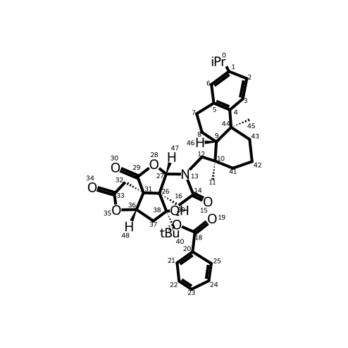 CC(C)c1ccc2c(c1)CC[C@H]1[C@](C)(CN3C(=O)[C@H](OC(=O)c4ccccc4)[C@@]45[C@@H]3OC(=O)[C@@]43CC(=O)O[C@H]3C[C@@]5(O)C(C)(C)C)CCC[C@]21C